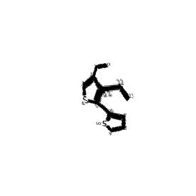 C=Cc1csc(-c2cccs2)c1C=C